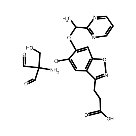 CC(Oc1cc2onc(CCC(=O)O)c2cc1Cl)c1ncccn1.NC(C=O)(C=O)CO